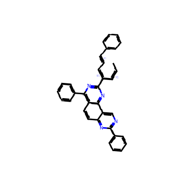 C\C=C/C(=C\C=C\c1ccccc1)c1nc(-c2ccccc2)c2ccc3nc(-c4ccccc4)ncc3c2n1